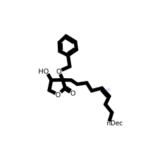 CCCCCCCCCCCC/C=C\CCCCC1(OCc2ccccc2)C(=O)OCC1O